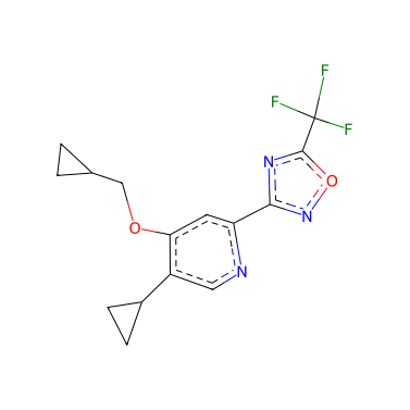 FC(F)(F)c1nc(-c2cc(OCC3CC3)c(C3CC3)cn2)no1